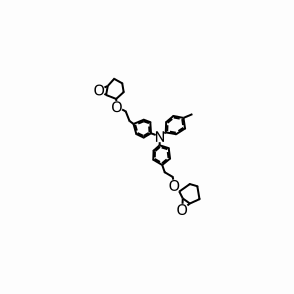 Cc1ccc(N(c2ccc(CCOC3CCCC4OC34)cc2)c2ccc(CCOC3CCCC4OC34)cc2)cc1